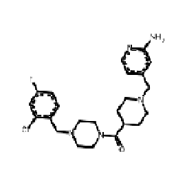 Nc1cc(CN2CCC(C(=O)N3CCN(Cc4ccc(F)cc4Cl)CC3)CC2)ccn1